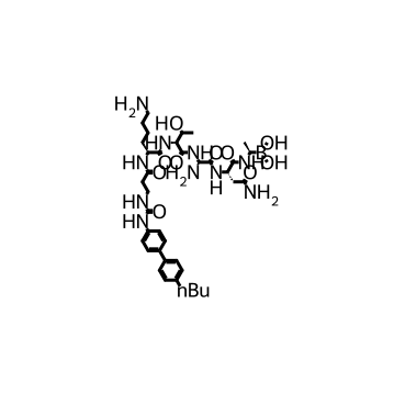 CCCCc1ccc(-c2ccc(NC(=O)NCCC(=O)N[C@@H](CCCCN)C(=O)N[C@H](C(=O)N[C@@H](N)C(=O)N[C@@H](CC(N)=O)C(=O)N[C@@H](C)B(O)O)C(C)O)cc2)cc1